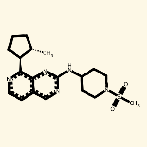 C[C@H]1CCC[C@@H]1c1nccc2cnc(NC3CCN(S(C)(=O)=O)CC3)nc12